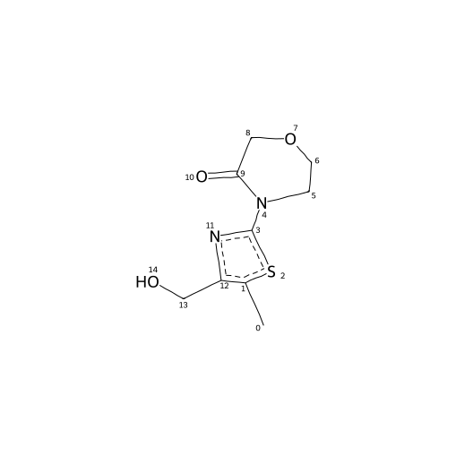 Cc1sc(N2CCOCC2=O)nc1CO